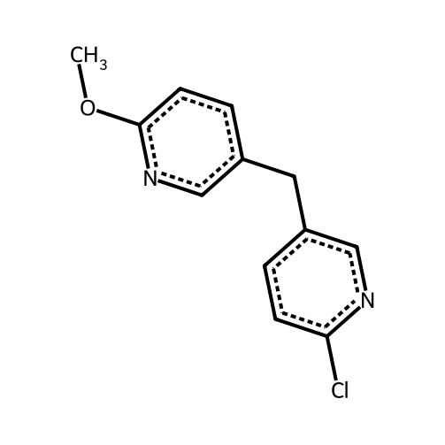 COc1ccc(Cc2ccc(Cl)nc2)cn1